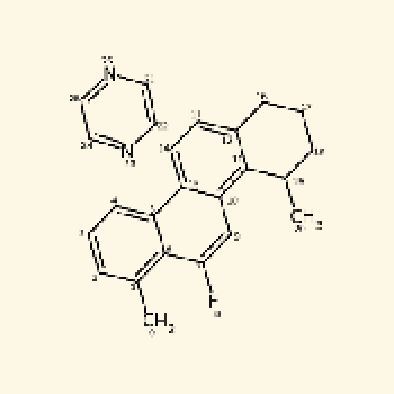 Cc1cccc2c1c(F)cc1c3c(ccc12)CCCC3C.c1cnccn1